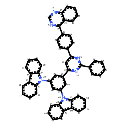 c1ccc(-c2nc(-c3ccc(-c4ncnc5ccccc45)cc3)cc(-c3cc(-n4c5ccccc5c5ccccc54)cc(-n4c5ccccc5c5ccccc54)c3)n2)cc1